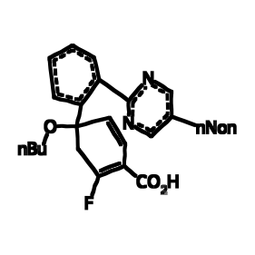 CCCCCCCCCc1cnc(-c2ccccc2C2(OCCCC)C=CC(C(=O)O)=C(F)C2)nc1